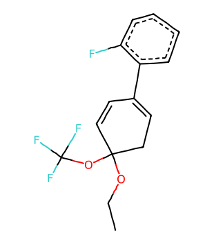 CCOC1(OC(F)(F)F)C=CC(c2ccccc2F)=CC1